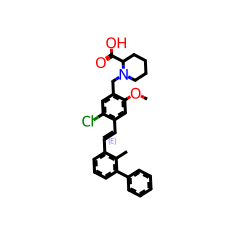 COc1cc(/C=C/c2cccc(-c3ccccc3)c2C)c(Cl)cc1CN1CCCCC1C(=O)O